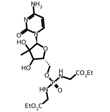 CCOC(=O)CNP(=O)(NCC(=O)OCC)OC[C@H]1O[C@H](n2ccc(N)nc2=O)C(C)(O)C1O